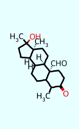 CC1C(=O)CC[C@@]2(C=O)C1CC[C@@H]1[C@H]2CC[C@@]2(C)[C@H]1CCC2(C)O